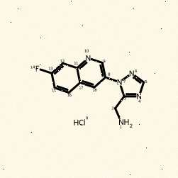 Cl.NCc1ncnn1-c1cnc2cc(F)ccc2c1